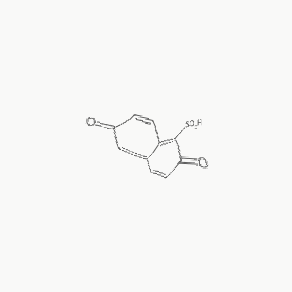 O=C1C=CC2=C(S(=O)(=O)O)C(=O)C=CC2=C1